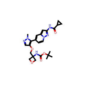 Cn1ncc(OCC2(NC(=O)OC(C)(C)C)COC2)c1-c1ccn2nc(NC(=O)C3CC3)cc2c1